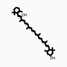 CC1=C(/C=C(O)/C(C)=C/C=C/C(C)=C/C=C/C=C(C)/C=C/C=C(C)/C=C/C2=C(C)CC(O)CC2(C)C)C(C)(C)CCC1